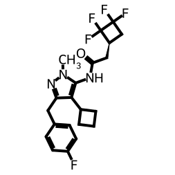 Cn1nc(Cc2ccc(F)cc2)c(C2CCC2)c1NC(=O)C[C@@H]1CC(F)(F)C1(F)F